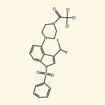 O=C(N1CCN(c2cccc3c2c(C(F)F)cn3S(=O)(=O)c2ccccc2)CC1)C(Cl)(Cl)Cl